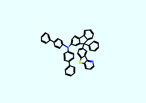 c1ccc(-c2ccc(N(c3ccc(-c4ccccc4)cc3)c3ccc4c(c3)C(c3ccccc3)(c3ccc5sc6cccnc6c5c3)c3ccccc3-4)cc2)cc1